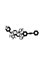 CC12CC(=O)N(c3c(F)cc(C#Cc4ccccc4)cc3F)C(=O)N1CCN(Cc1ccncc1)C2=O